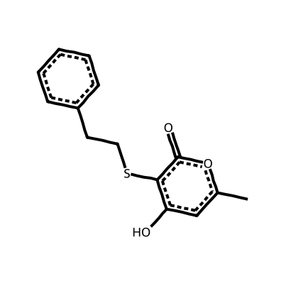 Cc1cc(O)c(SCCc2ccccc2)c(=O)o1